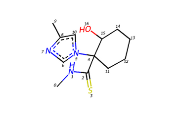 CNC(=S)C1(n2cnc(C)c2)CCCCC1O